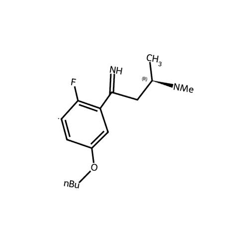 CCCCOc1c[c]c(F)c(C(=N)C[C@@H](C)NC)c1